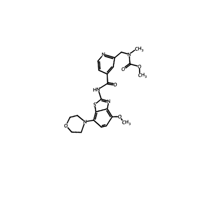 COC(=O)N(C)Cc1cc(C(=O)Nc2nc3c(OC)ccc(N4CCOCC4)c3s2)ccn1